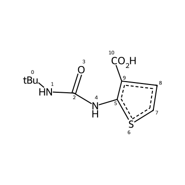 CC(C)(C)NC(=O)Nc1sccc1C(=O)O